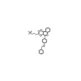 C[N+](C)(C)CCCC(=O)Oc1c(-c2ccc(OCc3ccccc3)cc2)oc2ccccc2c1=O